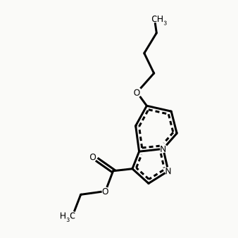 CCCCOc1ccn2ncc(C(=O)OCC)c2c1